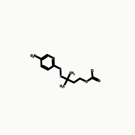 CC(C)(CCOC(=O)Cl)SSc1ccc([N+](=O)[O-])cn1